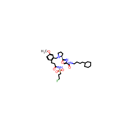 COc1ccc(CCC(=O)NS(=O)(=O)CCCF)c(CN2CCC[C@H]2c2nc(C(=O)NCCCCC3CCCCC3)co2)c1